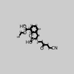 N#CCCC(=O)CC[C@H]1Cc2cccc(C(O)OCI)c2OB1O